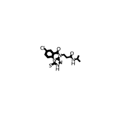 CC(C)NC(=O)CCn1c(=O)c2cc(Cl)ccc2n2c(=S)[nH]nc12